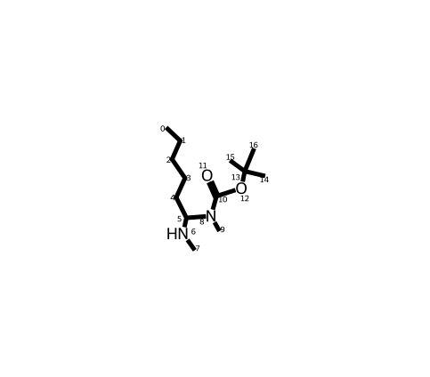 CCCCCC(NC)N(C)C(=O)OC(C)(C)C